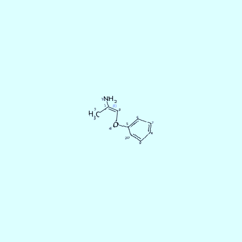 C/C(N)=C\Oc1ccccc1